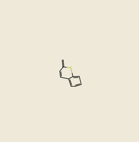 C=C1C=Cc2ccccc2S1